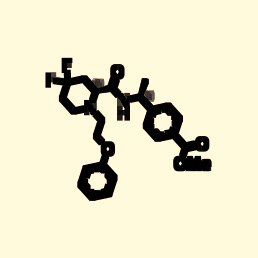 COC(=O)c1ccc([C@H](C)NC(=O)[C@@H]2CC(F)(F)CCN2CCOc2ccccc2)cc1